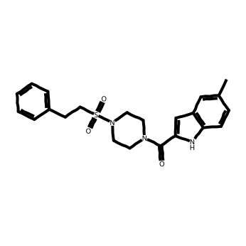 Cc1ccc2[nH]c(C(=O)N3CCN(S(=O)(=O)CCc4ccccc4)CC3)cc2c1